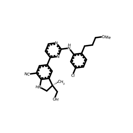 COCCCc1ccc(Cl)cc1Nc1nccc(-c2cc(C#N)c3c(c2)[C@@](C)(CO)CN3)n1